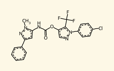 Cn1nc(-c2ccccc2)cc1NC(=O)Oc1cnn(-c2ccc(Cl)cc2)c1C(F)(F)F